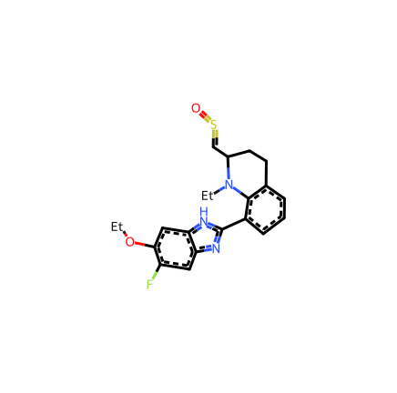 CCOc1cc2[nH]c(-c3cccc4c3N(CC)C(C=S=O)CC4)nc2cc1F